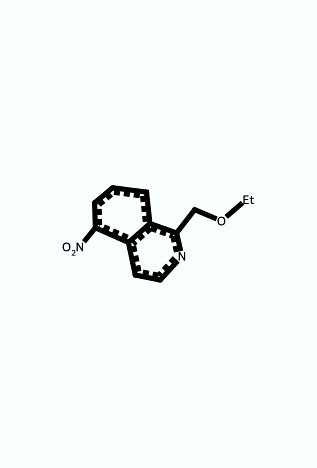 CCOCc1nccc2c([N+](=O)[O-])cccc12